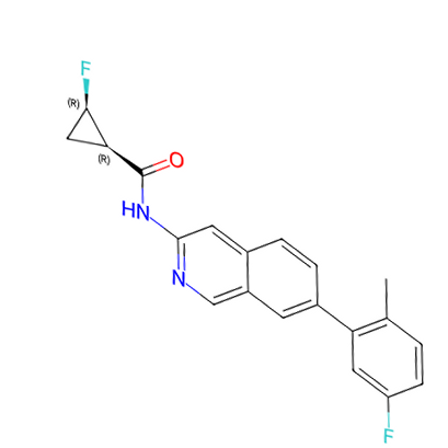 Cc1ccc(F)cc1-c1ccc2cc(NC(=O)[C@H]3C[C@H]3F)ncc2c1